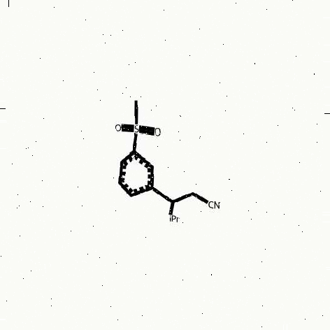 CC(C)C(CC#N)c1cccc(S(C)(=O)=O)c1